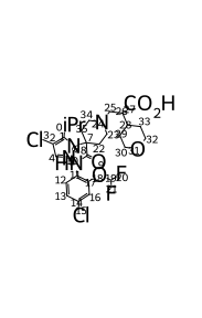 CC(C)c1c(Cl)cnn1C1(C(=O)Nc2ccc(Cl)cc2OC(F)F)CCN(C[C@H](C(=O)O)C2CCOCC2)CC1